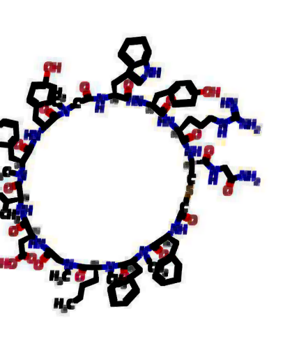 CCCC[C@H]1C(=O)N(C)CC(=O)N[C@@H](CC(=O)O)C(=O)N[C@@H](C(C)C)C(=O)N(C)[C@@H](Cc2ccccc2)C(=O)NC(Cc2ccc(O)cc2)C(=O)N(C)CC(=O)N[C@@H](Cc2c[nH]c3ccccc23)C(=O)N[C@@H](Cc2ccc(O)cc2)C(=O)N[C@@H](CCCNC(=N)N)C(=O)N[C@H](C(=O)NCC(N)=O)CSCC(=O)N[C@@H](Cc2ccccc2)C(=O)N(C)[C@@H](Cc2ccccc2)C(=O)N1C